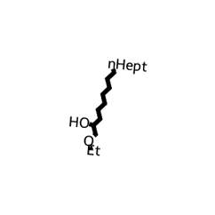 CCCCCCCCCCCCCCC(O)COCC